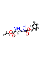 C=CCOC(=O)[C@@H](N)CCCNC(=O)OCc1ccccc1